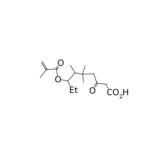 C=C(C)C(=O)OC(CC)C(C)C(C)(C)CC(=O)CC(=O)O